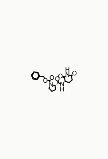 O=C1CC[C@H](NC(=O)[C@@H]2CCCN2C(=O)OCc2ccccc2)C(=O)N1